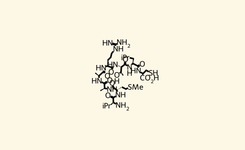 CSCC[C@H](NC(=O)[C@@H](N)C(C)C)C(=O)N[C@@H](C)C(=O)N[C@@H](C)C(=O)N[C@@H](CCCNC(=N)N)C(=O)N[C@H](C(=O)N[C@@H](CC(C)C)C(=O)N[C@@H](CS)C(=O)O)[C@@H](C)O